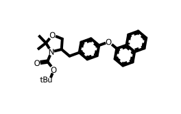 CC(C)(C)OC(=O)N1C(Cc2ccc(Oc3cccc4ccccc34)cc2)COC1(C)C